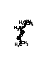 CC(C)=CCc1cccc(COc2cccc(CN(C)CC=CC#CC(C)(C)C)c2)c1